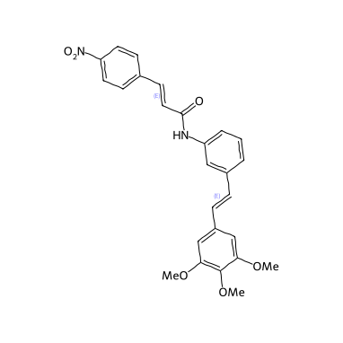 COc1cc(/C=C/c2cccc(NC(=O)/C=C/c3ccc([N+](=O)[O-])cc3)c2)cc(OC)c1OC